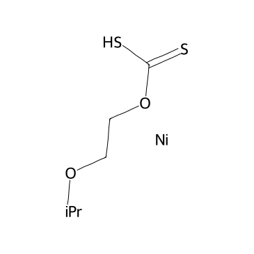 CC(C)OCCOC(=S)S.[Ni]